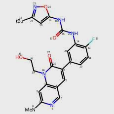 CNc1cc2c(cn1)cc(-c1ccc(F)c(NC(=O)Nc3cc(C(C)(C)C)no3)c1)c(=O)n2CCO